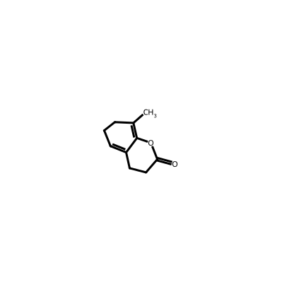 CC1=C2OC(=O)CCC2=CCC1